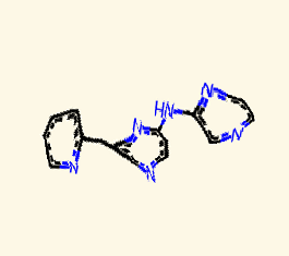 c1ccc(-c2cncc(Nc3cnccn3)n2)nc1